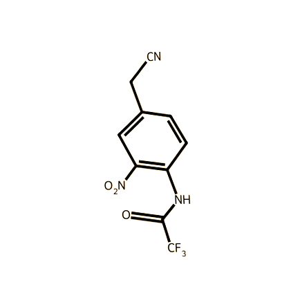 N#CCc1ccc(NC(=O)C(F)(F)F)c([N+](=O)[O-])c1